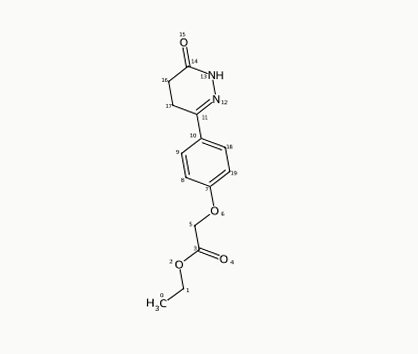 CCOC(=O)COc1ccc(C2=NNC(=O)CC2)cc1